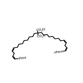 CCCCC/C=C\C/C=C\CCCCCCCCC(CCCCCCCC/C=C\C/C=C\CCCCC)(C(=O)O)C(=O)OCC